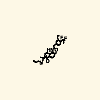 C=CCN(C)CC(C)n1ccc2c(NC(=O)Cc3ccc(C(F)(F)F)c(F)c3)c(C)ccc2c1=O